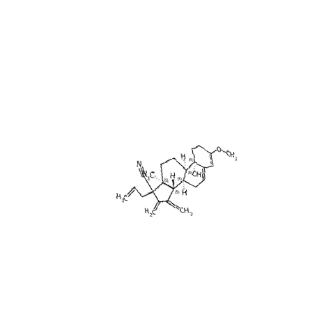 C=CCC1(C#N)C(=C)C(=C)[C@H]2[C@@H]3CC=C4C=C(OC)CC[C@]4(C)[C@@H]3CC[C@@]21C